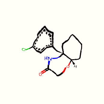 O=C1CO[C@H]2CCCC[C@@]2(c2cccc(Cl)c2)N1